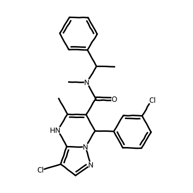 CC1=C(C(=O)N(C)C(C)c2ccccc2)C(c2cccc(Cl)c2)n2ncc(Cl)c2N1